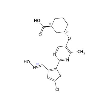 Cc1nc(-c2sc(Cl)cc2/C=N/O)ncc1O[C@H]1CCC[C@H](C(=O)O)C1